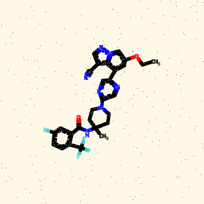 CCOc1cc(-c2cnc(N3CCC(C)(NC(=O)c4cc(F)ccc4C(F)(F)F)CC3)cn2)c2c(C#N)cnn2c1